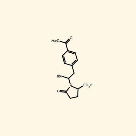 COC(=O)c1ccc(CC(N2C(=O)CCC2C(=O)O)C(C)(C)C)cc1